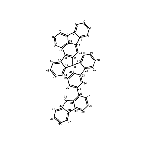 c1ccc2c(c1)-c1cccc3c4c(cc-2c13)C1(c2ccccc2-c2cc(-c3cccc5c3sc3ccccc35)ccc21)c1ccccc1-4